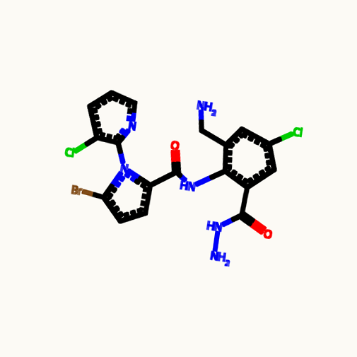 NCc1cc(Cl)cc(C(=O)NN)c1NC(=O)c1ccc(Br)n1-c1ncccc1Cl